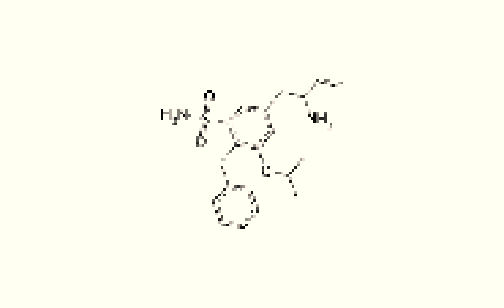 C=CC(N)Cc1cc(OC(C)C)c(Cc2ccccc2)c(S(N)(=O)=O)c1